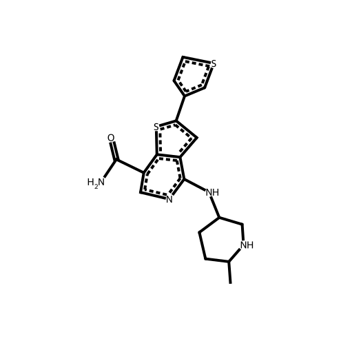 CC1CCC(Nc2ncc(C(N)=O)c3sc(-c4ccsc4)cc23)CN1